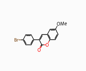 COc1ccc2oc(=O)c(-c3ccc(Br)cc3)cc2c1